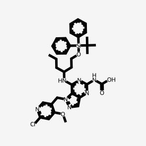 CCCC(CCO[Si](c1ccccc1)(c1ccccc1)C(C)(C)C)Nc1nc(NC(=O)O)nc2cnn(Cc3cnc(Cl)cc3OC)c12